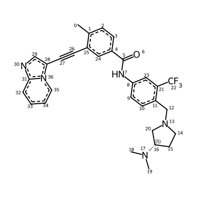 Cc1ccc(C(=O)Nc2ccc(CN3CC[C@H](N(C)C)C3)c(C(F)(F)F)c2)cc1C#Cc1cnc2ccccn12